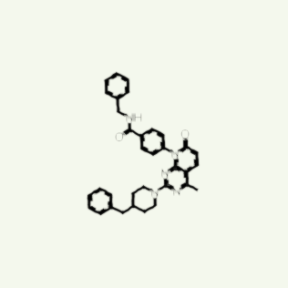 Cc1nc(N2CCC(Cc3ccccc3)CC2)nc2c1ccc(=O)n2-c1ccc(C(=O)NCc2ccccc2)cc1